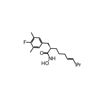 Cc1cc(C[C@@H](CCCC=CC(C)C)C(=O)NO)cc(C)c1F